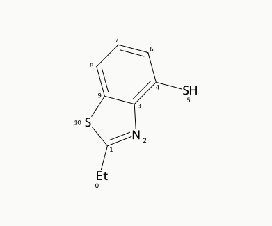 CCc1nc2c(S)cccc2s1